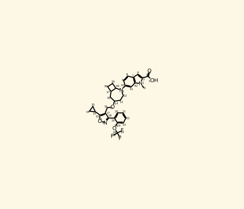 Cn1c(C(=O)O)cc2ccc(N3CCC(OCc4c(-c5ccccc5OC(F)(F)F)noc4C4CC4)CC4CCC43)cc21